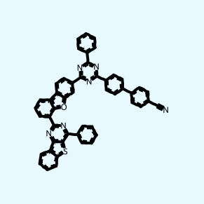 N#Cc1ccc(-c2ccc(-c3nc(-c4ccccc4)nc(-c4ccc5c(c4)oc4c(-c6nc(-c7ccccc7)c7sc8ccccc8c7n6)cccc45)n3)cc2)cc1